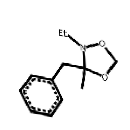 CCN1OCOC1(C)Cc1ccccc1